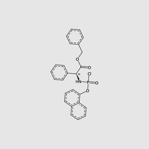 O=C(OCc1ccccc1)[C@@H](NP(=O)(Cl)Oc1cccc2ccccc12)c1ccccc1